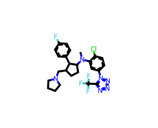 CN(c1cc(-n2nnnc2C(F)(F)F)ccc1Cl)C1CCC(CN2CCCC2)C1c1ccc(F)cc1